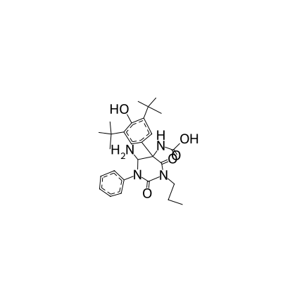 CCCN1C(=O)N(c2ccccc2)C(N)C(NC(=O)O)(c2cc(C(C)(C)C)c(O)c(C(C)(C)C)c2)C1=O